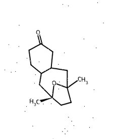 CC12CC[C@](C)(CC3CCC(=O)CC3C1)O2